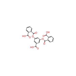 O=C(O)c1cc(OC(=O)c2ccccc2C(=O)O)cc(OC(=O)c2ccccc2C(=O)O)c1